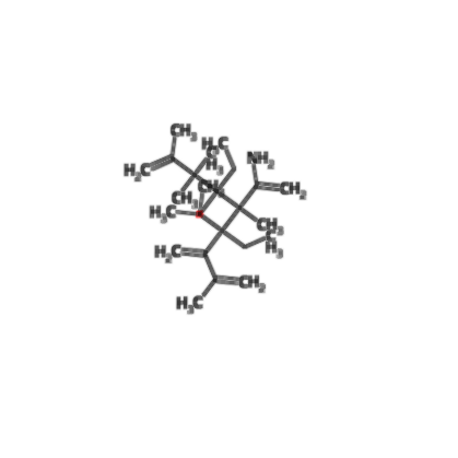 C=C(C)C(=C)C(CC)(CC)C(C)(C(=C)N)C(CC)(CC)C(C)(C)C(=C)C